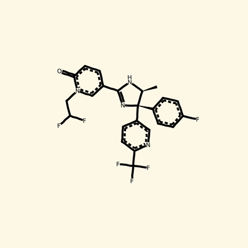 C[C@@H]1NC(c2ccc(=O)n(CC(F)F)c2)=N[C@@]1(c1ccc(F)cc1)c1ccc(C(F)(F)F)nc1